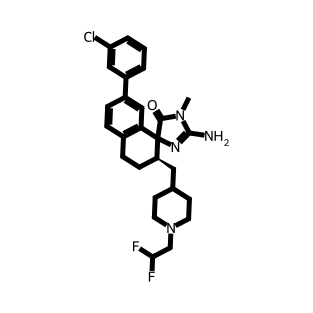 CN1C(=O)C2(N=C1N)c1cc(-c3cccc(Cl)c3)ccc1CC[C@@H]2CC1CCN(CC(F)F)CC1